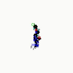 Fc1cc(Cl)ccc1COc1nc(C2CCN(Cc3nc4cc(-c5nnc(C(F)(F)F)[nH]5)ncc4n3CC3CCO3)CC2F)ccc1F